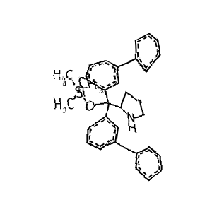 C[Si](C)(C)OC(c1cccc(-c2ccccc2)c1)(c1cccc(-c2ccccc2)c1)C1CCCN1